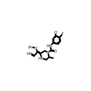 CC(C)O/C(C=N)=C1\CN(C(=O)Nc2ccc(F)c(Cl)c2)C(C)CN1